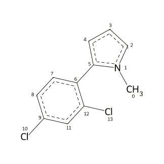 Cn1[c]ccc1-c1ccc(Cl)cc1Cl